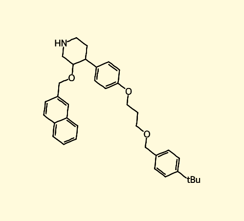 CC(C)(C)c1ccc(COCCCOc2ccc(C3CCNCC3OCc3ccc4ccccc4c3)cc2)cc1